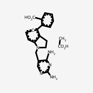 CC(=O)O.Nc1ncc(CN2CCc3c(-c4ccccc4C(=O)O)cccc32)c(N)n1